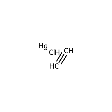 C#C.Cl.[Hg]